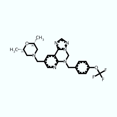 C[C@@H]1CN(Cc2cnc3c(c2)-c2ncnn2CN3Cc2ccc(OC(F)(F)F)cc2)C[C@H](C)O1